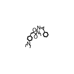 CCN1C(=O)/C(=C\c2ccc(N(CC)CC)cc2)O/C1=N/C1CC1c1ccccc1